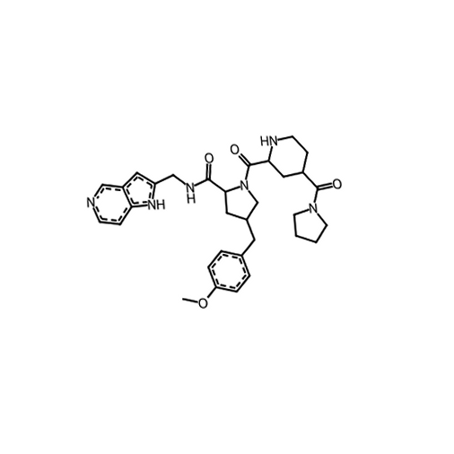 COc1ccc(CC2CC(C(=O)NCc3cc4cnccc4[nH]3)N(C(=O)C3CC(C(=O)N4CCCC4)CCN3)C2)cc1